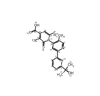 Cc1cnc(-c2ccnc(C(C)(C)O)n2)cc1-n1c(C)cc(C(=O)O)c(Cl)c1=O